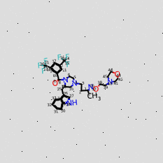 CC(CCN1CCN(C(=O)c2cc(C(F)(F)F)cc(C(F)(F)F)c2)[C@H](Cc2c[nH]c3ccccc23)C1)=NOCCN1CCOCC1